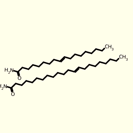 CCCCCCCCC=CCCCCCCCC(N)=O.CCCCCCCCC=CCCCCCCCCCCCC(N)=O